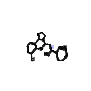 O/C(=C\C1=Nc2c(Cl)cccc2C2=NCCN12)c1cccnc1